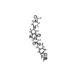 CC(=O)N1CCN(c2ccc3ncn(CC(=O)NCc4ccc(OC(F)(F)F)cc4)c(=O)c3c2)CC1